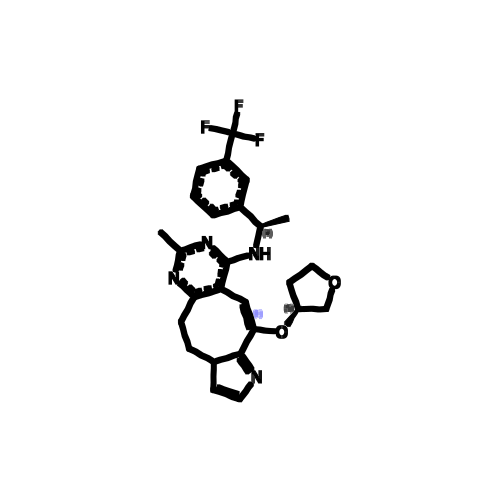 Cc1nc2c(c(N[C@H](C)c3cccc(C(F)(F)F)c3)n1)/C=C(/O[C@H]1CCOC1)C1=NC=CC1CC2